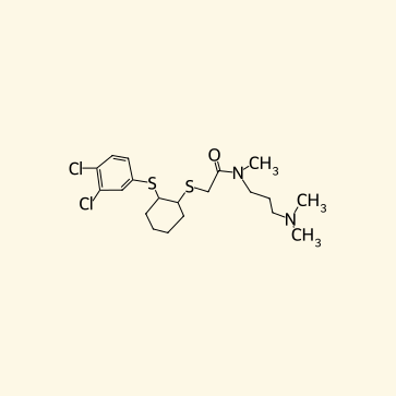 CN(C)CCCN(C)C(=O)CSC1CCCCC1Sc1ccc(Cl)c(Cl)c1